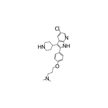 CN(C)CCCOc1ccc(-c2[nH]c3ncc(Cl)cc3c2C2CCNCC2)cc1